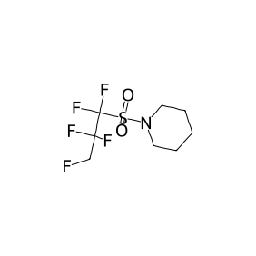 O=S(=O)(N1CCCCC1)C(F)(F)C(F)(F)CF